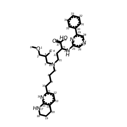 COCC(F)CN(CCCCc1ccc2c(n1)NCCC2)CCC(Nc1cncc(-c2ccccc2)n1)C(=O)O